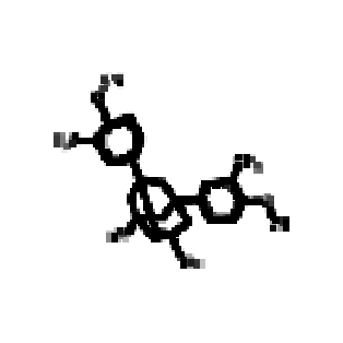 CCCC12CC3(c4ccc(OC#N)c(C)c4)CC(c4ccc(OC#N)c(C)c4)(C1)CC(C(C)(C)C)(C2)C3